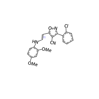 COc1ccc(N/C=C/c2onc(-c3ccccc3Cl)c2C#N)c(OC)c1